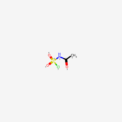 CC(=O)NS(=O)(=O)Cl